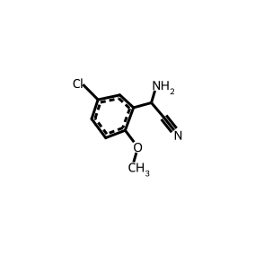 COc1ccc(Cl)cc1C(N)C#N